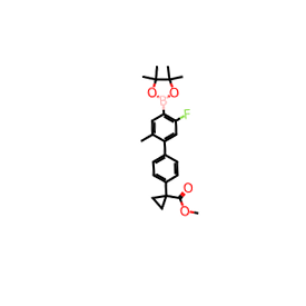 COC(=O)C1(c2ccc(-c3cc(F)c(B4OC(C)(C)C(C)(C)O4)cc3C)cc2)CC1